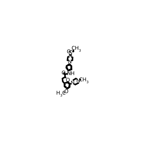 CC[S+]([O-])N1CCN(c2ccc(NC(=O)C3CCc4cc(OC)cc(N5CCN(C)CC5)c4O3)cc2)CC1